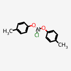 Cc1ccc([O][Al]([Cl])[O]c2ccc(C)cc2)cc1